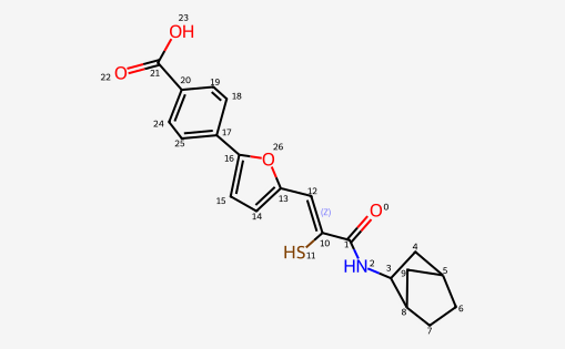 O=C(NC1CC2CCC1C2)/C(S)=C/c1ccc(-c2ccc(C(=O)O)cc2)o1